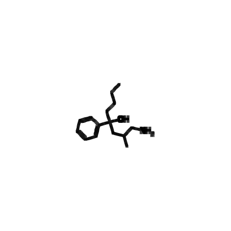 CCCCC(O)(CC(C)CN)c1ccccc1